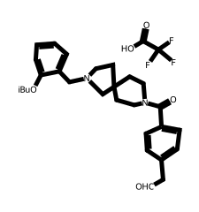 CC(C)COc1ccccc1CN1CCC2(CCN(C(=O)c3ccc(CC=O)cc3)CC2)C1.O=C(O)C(F)(F)F